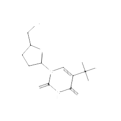 O=c1[nH]c(=O)n(C2CCC(CO)O2)cc1C(F)(F)F